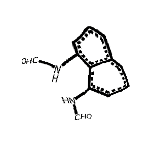 O=CNc1cccc2cccc(NC=O)c12